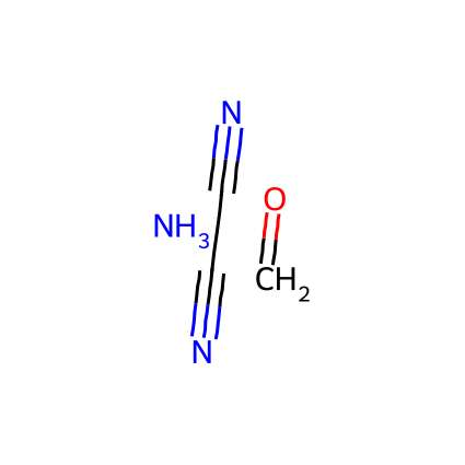 C=O.N.N#CC#N